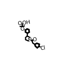 CC(C)(Oc1cccc(C2CCCN(C(=O)Cc3ccc(Cl)cc3)C2)c1)C(=O)O